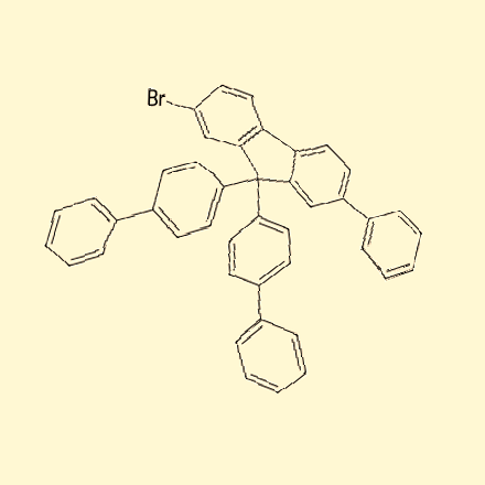 Brc1ccc2c(c1)C(c1ccc(-c3ccccc3)cc1)(c1ccc(-c3ccccc3)cc1)c1cc(-c3ccccc3)ccc1-2